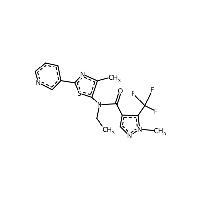 CCN(C(=O)c1cnn(C)c1C(F)(F)F)c1sc(-c2cccnc2)nc1C